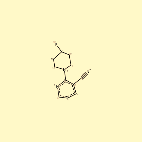 N#Cc1cccnc1N1CCC(F)CC1